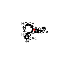 CO[C@]1(C)C[C@H](O[C@H]2[C@H](C)[C@@H](O[C@@H]3O[C@H](C)CC(N(C)C)[C@H]3OC(C)=O)[C@](C)(O)C[C@@H](C)CN(C)[C@H](C)[C@@H](O)[C@](C)(O)[C@@H](I)OC(=O)[C@@H]2C)O[C@@H](C)[C@@H]1OC(=O)n1ccnc1